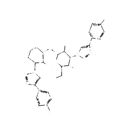 OCC1O[C@@H](S[C@@H]2CCCC(n3cc(-c4ccc(F)cc4)nn3)C2O)C(O)[C@@H](n2cc(-c3ccc(F)cc3)nn2)[C@H]1O